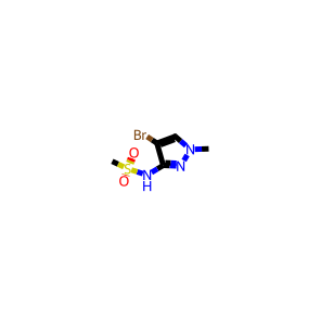 Cn1cc(Br)c(NS(C)(=O)=O)n1